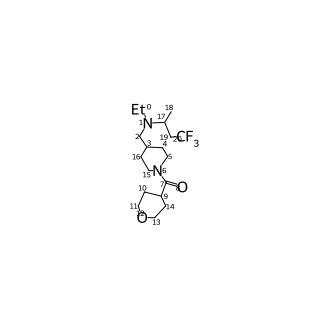 CCN(CC1CCN(C(=O)C2CCOCC2)CC1)C(C)CC(F)(F)F